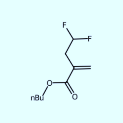 C=C(CC(F)F)C(=O)OCCCC